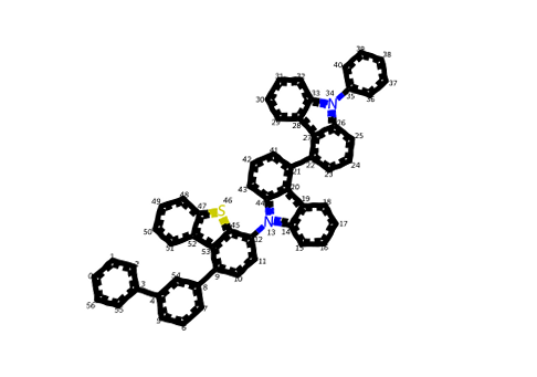 c1ccc(-c2cccc(-c3ccc(-n4c5ccccc5c5c(-c6cccc7c6c6ccccc6n7-c6ccccc6)cccc54)c4sc5ccccc5c34)c2)cc1